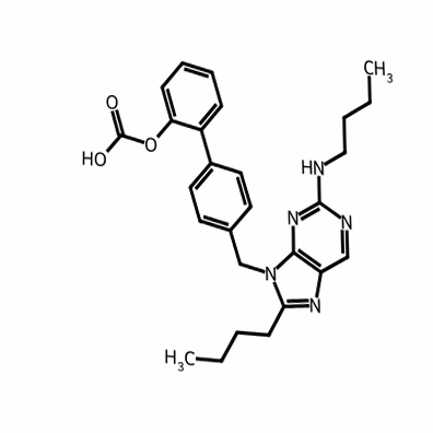 CCCCNc1ncc2nc(CCCC)n(Cc3ccc(-c4ccccc4OC(=O)O)cc3)c2n1